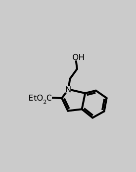 CCOC(=O)c1cc2ccccc2n1CCO